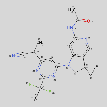 CC(=O)Nc1cc2c(cn1)C1(CC1)CN2c1cc(C(C)C#N)nc(C(C)(F)F)n1